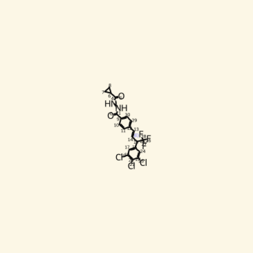 O=C(NNC(=O)C1CC1)c1ccc(/C=C/C(c2cc(Cl)c(Cl)c(Cl)c2)C(F)(F)F)cc1